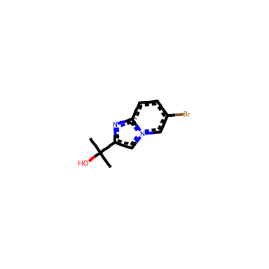 CC(C)(O)c1cn2cc(Br)ccc2n1